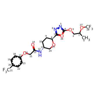 CC(COc1nnc([C@@H]2CC[C@@H](NC(=O)COc3ccc(C(F)(F)F)cc3)CO2)o1)OC(F)(F)F